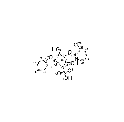 O=S(=O)(O)C1O[C@H](Oc2ccccc2)[C@@H](O)[C@H](Oc2ncccc2Cl)[C@H]1O